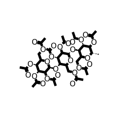 CC(=O)OCC1O[C@@H](O[C@@H]2C(COC(C)=O)O[C@@H](O[C@@H]3C(COC(C)=O)O[C@@H](C)C(OC(C)=O)[C@H]3OC(C)=O)C(OC(C)=O)[C@H]2OC(C)=O)C(OC(C)=O)[C@@H](OC(C)=O)[C@@H]1OC(C)=O